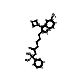 C[C@](O)(CC(=O)CCCCc1nn2ccc(C(F)(F)F)cc2c1C1CCC1)c1ccccc1